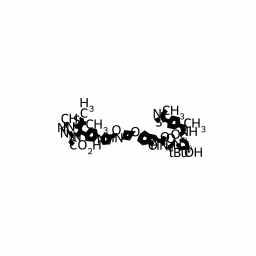 Cc1ncsc1-c1ccc([C@H](C)NC(=O)[C@@H]2C[C@@H](O)CN2C(=O)[C@@H](NC(=O)c2cc3cc(O[C@H]4C[C@@H](NC(=O)C5CCN(c6ccc(C7=N[C@@H](CC(=O)O)c8nnc(C)n8-c8sc(C)c(C)c87)cc6)C5)C4)ccc3o2)C(C)(C)C)cc1